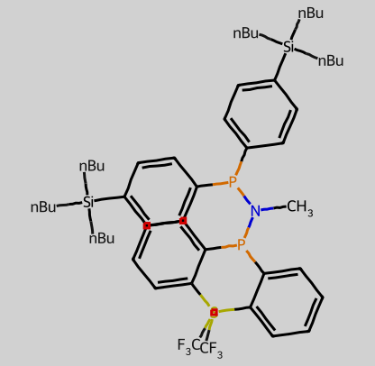 CCCC[Si](CCCC)(CCCC)c1ccc(P(c2ccc([Si](CCCC)(CCCC)CCCC)cc2)N(C)P(c2ccccc2SC(F)(F)F)c2ccccc2SC(F)(F)F)cc1